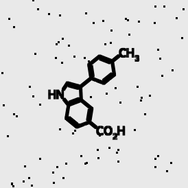 Cc1ccc(-c2c[nH]c3ccc(C(=O)O)cc23)cc1